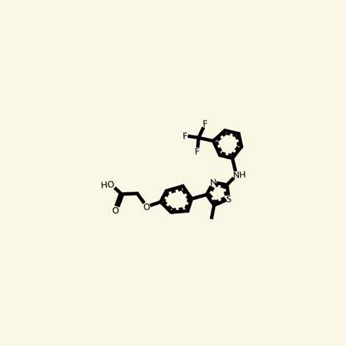 Cc1sc(Nc2cccc(C(F)(F)F)c2)nc1-c1ccc(OCC(=O)O)cc1